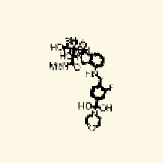 BC(O)(C=O)C(B)(O)[C@@](O)(C(=O)NC)N1Cc2c(NCc3ccc(C(O)(O)N4CCOCC4)cc3F)cccc2C1=O